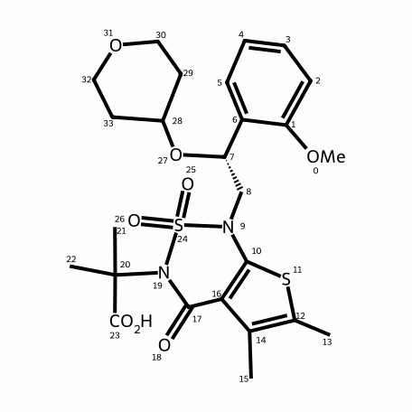 COc1ccccc1[C@H](CN1c2sc(C)c(C)c2C(=O)N(C(C)(C)C(=O)O)S1(=O)=O)OC1CCOCC1